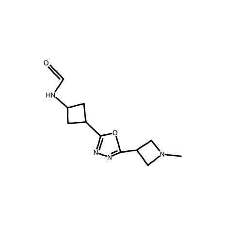 CN1CC(c2nnc(C3CC(NC=O)C3)o2)C1